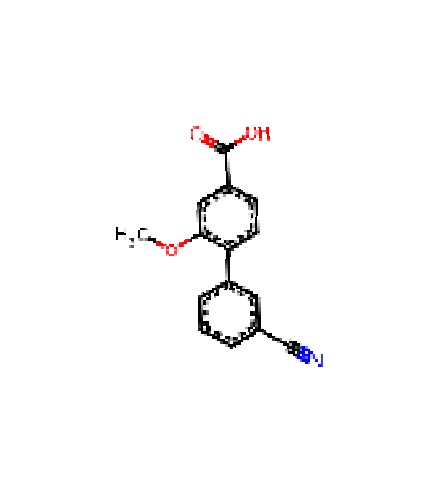 COc1cc(C(=O)O)ccc1-c1cccc(C#N)c1